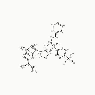 CN[C@@H](C)C(=O)N[C@H](C(=O)N1CCC[C@H]1CN(CCc1ccccc1)S(=O)(=O)c1ccc(C(F)(F)F)cc1)C(C)(C)C